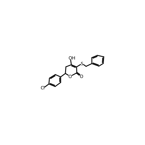 O=C1OC(c2ccc(Cl)cc2)CC(O)=C1SCc1ccccc1